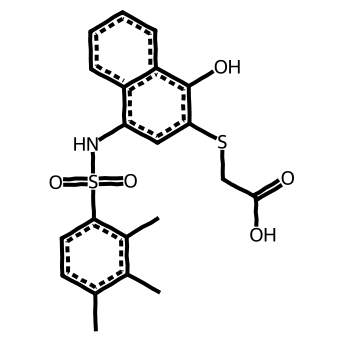 Cc1ccc(S(=O)(=O)Nc2cc(SCC(=O)O)c(O)c3ccccc23)c(C)c1C